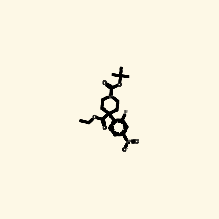 CCOC(=O)C1(c2ccc([N+](=O)[O-])cc2F)CCN(C(=O)OC(C)(C)C)CC1